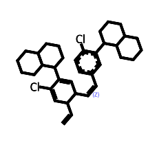 C=CC1C=C(Cl)C(C2CCCC3CCCCC32)=CC1/C=C\c1ccc(Cl)c(C2CCCC3CCCCC32)c1